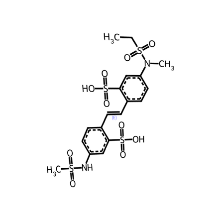 CCS(=O)(=O)N(C)c1ccc(/C=C/c2ccc(NS(C)(=O)=O)cc2S(=O)(=O)O)c(S(=O)(=O)O)c1